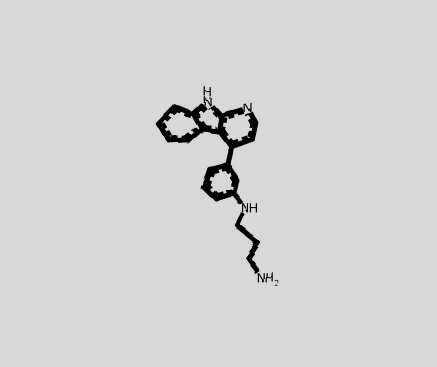 NCCCNc1cccc(-c2ccnc3[nH]c4ccccc4c23)c1